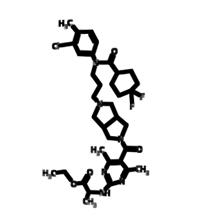 CCOC(=O)C(C)Nc1nc(C)c(C(=O)N2CC3CN(CCCN(C(=O)C4CCC(F)(F)CC4)c4ccc(C)c(Cl)c4)CC3C2)c(C)n1